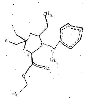 CCOC(=O)[C@H]1CC(F)(F)CC(CC)N1[C@@H](C)c1ccccc1